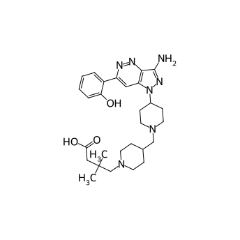 CC(C)(CC(=O)O)CN1CCC(CN2CCC(n3nc(N)c4nnc(-c5ccccc5O)cc43)CC2)CC1